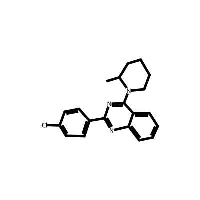 CC1CCCCN1c1nc(-c2ccc(Cl)cc2)nc2ccccc12